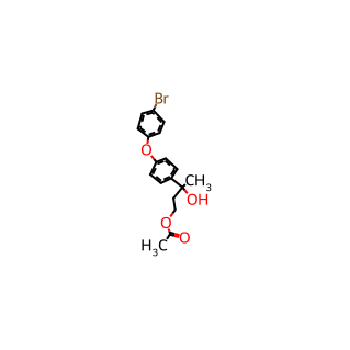 CC(=O)OCCC(C)(O)c1ccc(Oc2ccc(Br)cc2)cc1